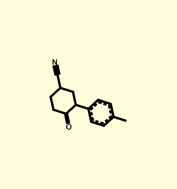 Cc1ccc(C2CC(C#N)CCC2=O)cc1